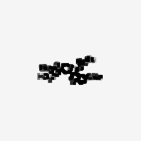 COc1ccc2nccc([C@H](CN3CCC(N(CC(=O)O)C(=O)OC(C)(C)C)CC3)OC(=O)OC(C)(C)C)c2c1